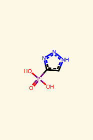 O=P(O)(O)c1c[nH]nn1